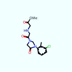 COC(=O)CNCC(=O)N1CC(=O)N(c2cccc(Cl)c2C)C1